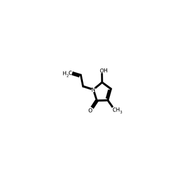 C=CCN1C(=O)C(C)=CC1O